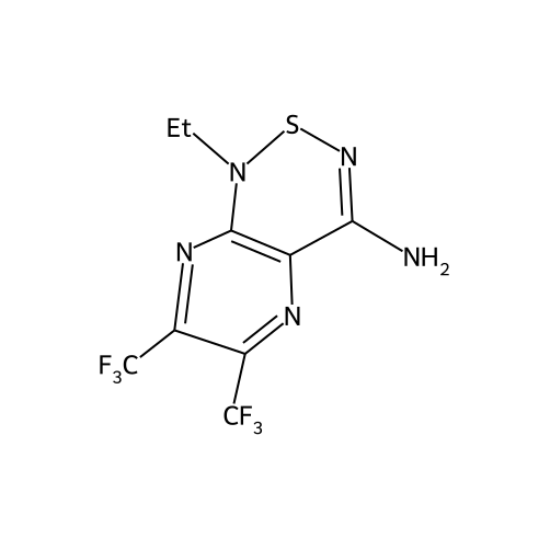 CCN1SN=C(N)c2nc(C(F)(F)F)c(C(F)(F)F)nc21